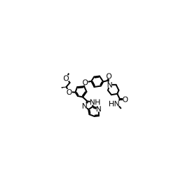 CNC(=O)C1CCN(C(=O)c2ccc(Oc3cc(O[C@@H](C)COC)cc(-c4nc5cccnc5[nH]4)c3)cc2)CC1